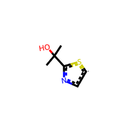 CC(C)(O)c1nc[c]s1